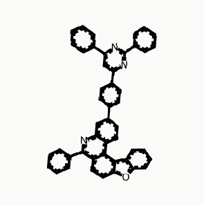 c1ccc(-c2cc(-c3ccc(-c4ccc5c(c4)nc(-c4ccccc4)c4ccc6oc7ccccc7c6c45)cc3)nc(-c3ccccc3)n2)cc1